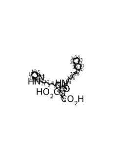 O=C(O)COC(C(=O)O)C(OCCCCCc1nc2ccccc2[nH]1)C(=O)NCCCCCc1ccc2ccccc2c1